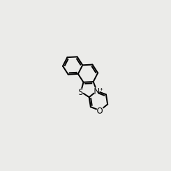 C1=c2sc3c4ccccc4ccc3[n+]2=CCO1